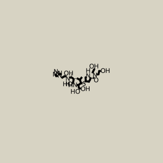 CC1C[C@@H]([C@@H](C)NC(O)Cn2cnnn2)C(O)NC(C(O)O)C1S[C@@H]1CN[C@H](C(=O)N(CCO)CCO)C1